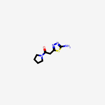 Nc1nnc(CC(=O)N2CCCC2)s1